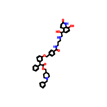 O=C(NCCCNCC(O)c1ccc(O)c2[nH]c(=O)ccc12)c1ccc(COc2cccc(C(C(=O)OCC3CCN(Cc4ccccc4)CC3)c3ccccc3)c2)cc1